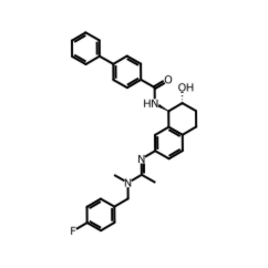 C/C(=N\c1ccc2c(c1)[C@@H](NC(=O)c1ccc(-c3ccccc3)cc1)[C@H](O)CC2)N(C)Cc1ccc(F)cc1